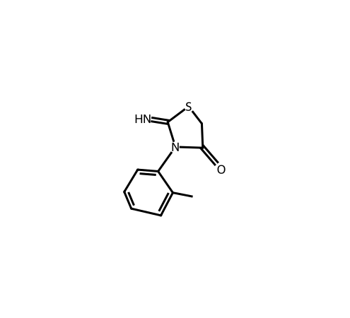 Cc1ccccc1N1C(=N)SCC1=O